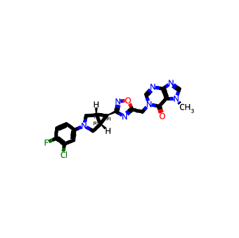 Cn1cnc2ncn(Cc3nc([C@H]4[C@@H]5CN(c6ccc(F)c(Cl)c6)C[C@@H]54)no3)c(=O)c21